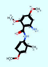 COc1ccc(NC(=O)c2c(N)cc(OC)cc2OC)c(C)c1